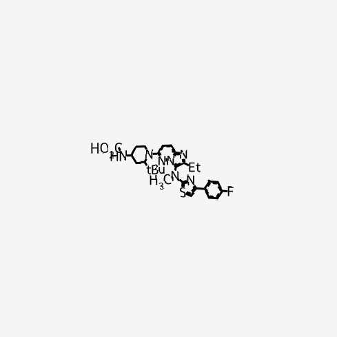 CCc1nc2ccc(N3CCC(NC(=O)O)CC3C(C)(C)C)nn2c1N(C)c1nc(-c2ccc(F)cc2)cs1